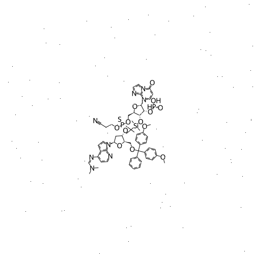 COc1ccc(C(OC[C@H]2O[C@@H](n3ccc4c(/N=C\N(C)C)ccnc43)C[C@@H]2OP(=S)(OCCC#N)OC[C@H]2O[C@@H](n3ccc(=O)n4ccnc34)[C@H](O[PH](=O)O)[C@@H]2O[Si](C)(C)C(C)(C)C)(c2ccccc2)c2ccc(OC)cc2)cc1